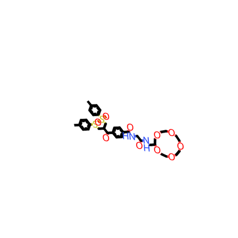 Cc1ccc(SCC(CS(=O)(=O)c2ccc(C)cc2)C(=O)c2ccc(C(=O)NCC(=O)NCC3COCCOCCOCCOCCO3)cc2)cc1